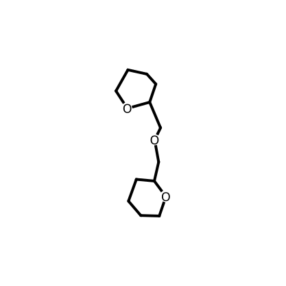 C1CCC(COCC2CCCCO2)OC1